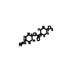 COC1CCC(C(=O)OC2CCC(C#N)CC2)CC1